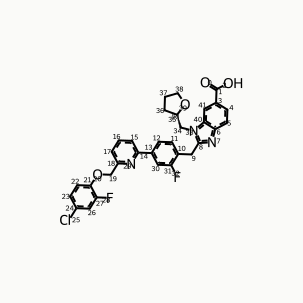 O=C(O)c1ccc2nc(Cc3ccc(-c4cccc(COc5ccc(Cl)cc5F)n4)cc3F)n(C[C@H]3CCCO3)c2c1